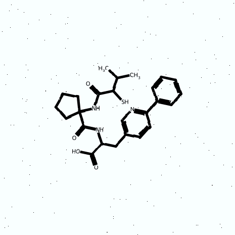 CC(C)C(S)C(=O)NC1(C(=O)NC(Cc2ccc(-c3ccccc3)nc2)C(=O)O)CCCC1